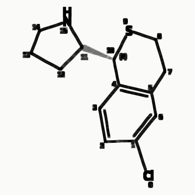 Clc1ccc2c(c1)CCS[C@H]2C1CCCN1